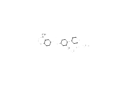 COc1cc(-c2ccc(COc3ccc4c(c3)C3(CCC4)C[C@H]3C(=O)O)cc2[C@@H](OC)C(C)(C)C)c(F)cn1